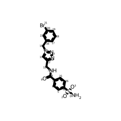 NS(=O)(=O)c1ccc(C(=O)NCc2cn(Cc3cccc(Br)c3)nn2)cc1